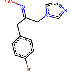 O/N=C(\Cc1ccc(Br)cc1)Cn1ccnc1